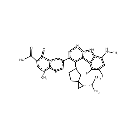 CNc1cc(F)c(F)c2c1[nH]c1ncc(-c3cnc4c(c3)c(=O)c(C(=O)O)cn4C)c(N3CCC4(C[C@H]4N(C)C)C3)c12